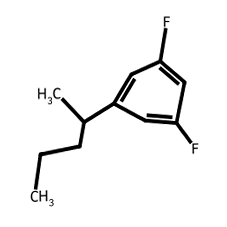 CCCC(C)c1cc(F)cc(F)c1